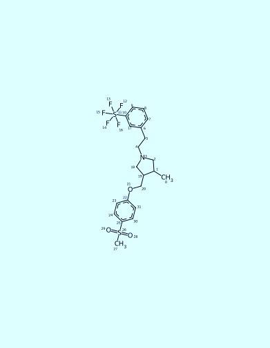 CC1CN(CCc2cccc(S(F)(F)(F)(F)F)c2)CC1COc1ccc(S(C)(=O)=O)cc1